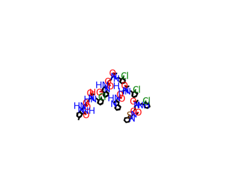 CC(=O)N(CCOC(=O)Nc1cc(O)c2ccccc2n1)NCc1ccccc1Cl.CC(=O)N(CCOC(=O)Nc1cnc2ccccc2c1)NCc1ccccc1Cl.CC(=O)N(CCOC(=O)Nc1nc2ccc(C)cc2c(=O)[nH]1)NCc1ccccc1Cl.CC(=O)N(CCON(C=O)c1nc2c(s1)CCCC2)NCc1ccccc1Cl